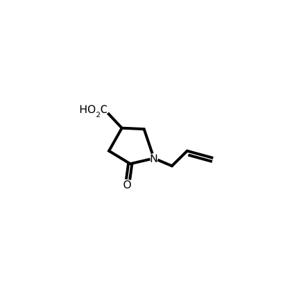 C=CCN1CC(C(=O)O)CC1=O